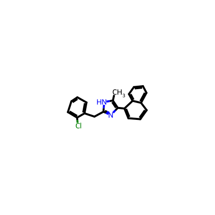 Cc1[nH]c(Cc2ccccc2Cl)nc1-c1cccc2ccccc12